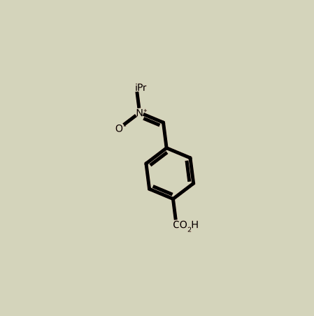 CC(C)/[N+]([O-])=C/c1ccc(C(=O)O)cc1